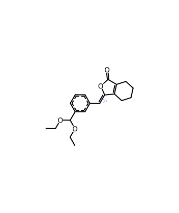 CCOC(OCC)c1cccc(/C=C2\OC(=O)C3=C2CCCC3)c1